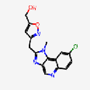 Cn1c(Cc2cc(CO)on2)nc2cnc3ccc(Cl)cc3c21